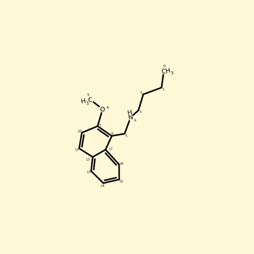 CCCCNCc1c(OC)ccc2ccccc12